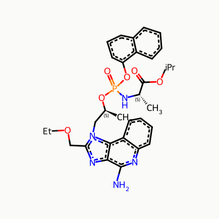 CCOCc1nc2c(N)nc3ccccc3c2n1C[C@H](C)OP(=O)(N[C@@H](C)C(=O)OC(C)C)Oc1cccc2ccccc12